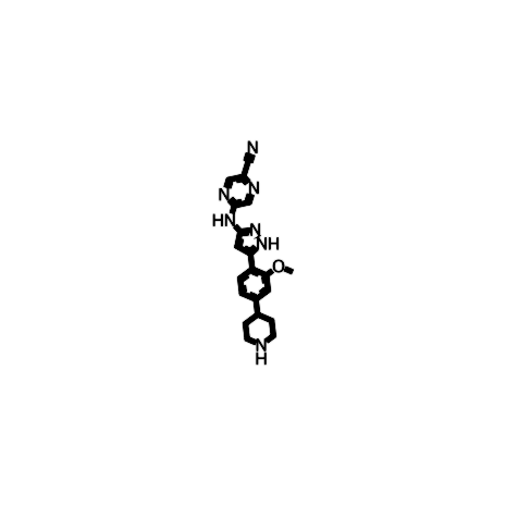 COc1cc(C2CCNCC2)ccc1-c1cc(Nc2cnc(C#N)cn2)n[nH]1